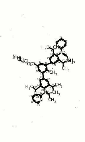 CC=[N+](c1ccccn1)c1c(C(C)C)cc(-c2cc(O)cc(-c3cc(C(C)C)c([N+](=CC)c4ccccn4)c(C(C)C)c3)c2C)cc1C(C)C.[Cl-].[Cl-].[Cl-].[Cl-].[Ni].[Ni]